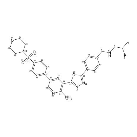 CC(F)CNCc1ccc(-c2nnc(-c3nc(-c4ccc(S(=O)(=O)C5CCOCC5)cc4)cnc3N)o2)cc1